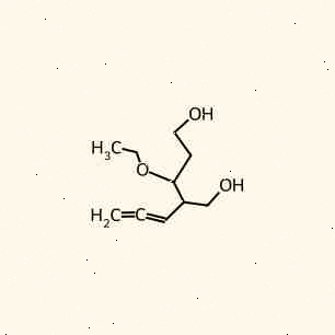 C=C=CC(CO)C(CCO)OCC